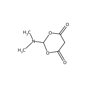 CN(C)C1OC(=O)CC(=O)O1